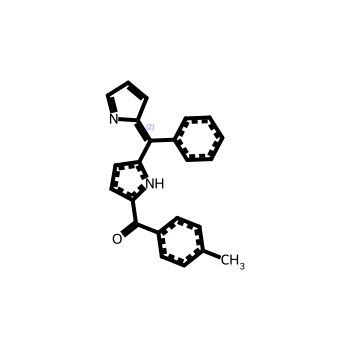 Cc1ccc(C(=O)c2ccc(/C(=C3/C=CC=N3)c3ccccc3)[nH]2)cc1